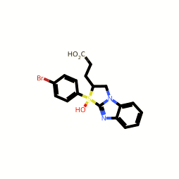 O=C(O)CCC1Cn2c(nc3ccccc32)S1(O)c1ccc(Br)cc1